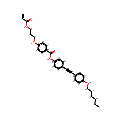 C=CC(=O)OCCCOc1ccc(C(=O)Oc2ccc(C#Cc3ccc(OCCCCCC)cc3)cc2)cc1